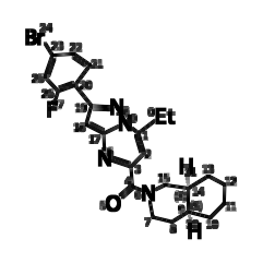 CCc1cc(C(=O)N2CC[C@@H]3CCCC[C@@H]3C2)nc2cc(-c3ccc(Br)cc3F)nn12